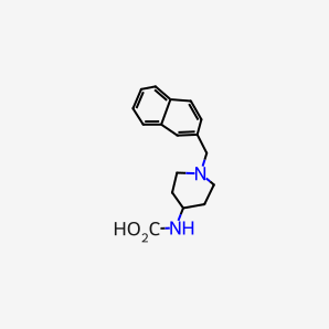 O=C(O)NC1CCN(Cc2ccc3ccccc3c2)CC1